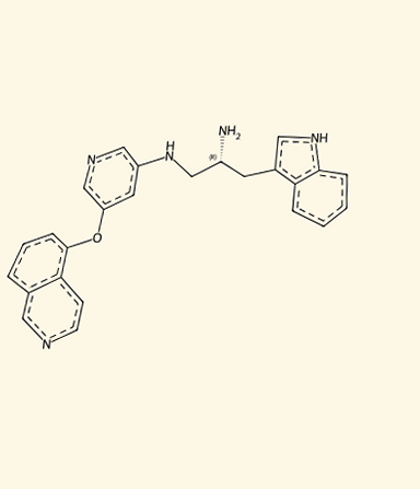 N[C@@H](CNc1cncc(Oc2cccc3cnccc23)c1)Cc1c[nH]c2ccccc12